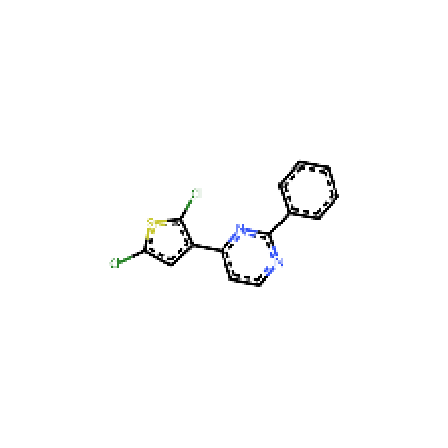 Clc1cc(-c2ccnc(-c3ccccc3)n2)c(Cl)s1